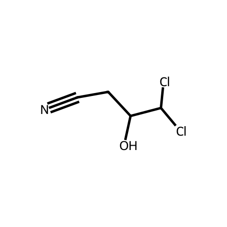 N#CCC(O)C(Cl)Cl